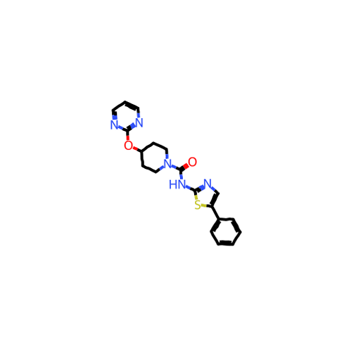 O=C(Nc1ncc(-c2ccccc2)s1)N1CCC(Oc2ncccn2)CC1